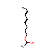 CC=CC=CCCCOC(C)O